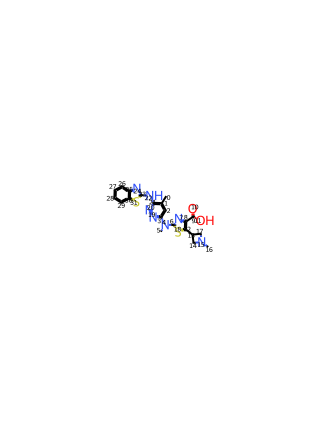 Cc1cc(N(C)c2nc(C(=O)O)c(C3CN(C)C3)s2)nnc1Nc1nc2ccccc2s1